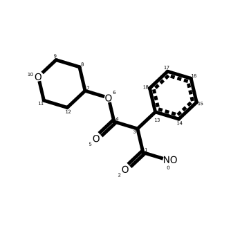 O=NC(=O)C(C(=O)OC1CCOCC1)c1ccccc1